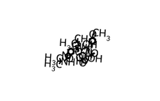 COc1ccc(C[C@@H]([C@H](O)CN(CC(C)C)S(=O)(=O)c2ccc3nc(NC(C)C)oc3c2)N(C(=O)O)[C@H]2CCO[C@H]3OCC[C@H]32)cc1